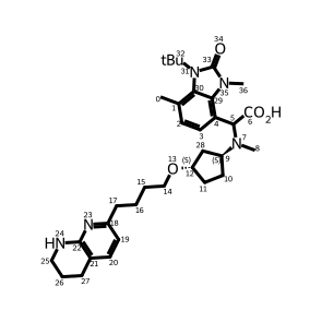 Cc1ccc(C(C(=O)O)N(C)[C@H]2CC[C@H](OCCCCc3ccc4c(n3)NCCC4)C2)c2c1n(C(C)(C)C)c(=O)n2C